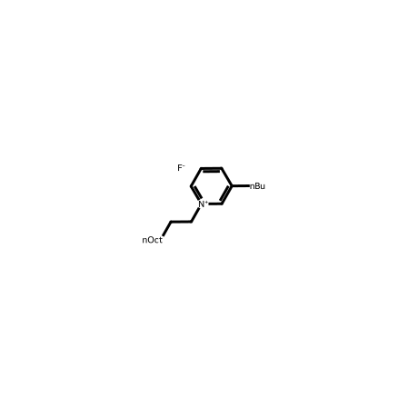 CCCCCCCCCC[n+]1cccc(CCCC)c1.[F-]